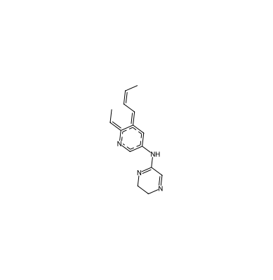 C\C=C/C=c1/cc(NC2=NCCN=C2)cn/c1=C/C